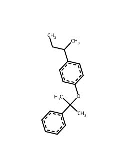 CCC(C)c1ccc(OC(C)(C)c2ccccc2)cc1